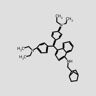 CCN(CC)c1ccc(C(=C2C=CC(=[N+](CC)CC)C=C2)c2ccc(NCC3CC4CCC3C4)c3ccccc23)cc1